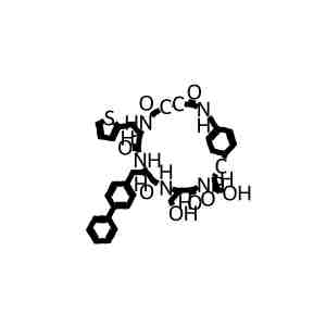 O=C1CCC(=O)N[C@H](Cc2cccs2)C(=O)N[C@@H](Cc2ccc(-c3ccccc3)cc2)C(=O)N[C@@H](CO)C(=O)N[C@H](C(=O)O)CC2C=CC(=CC2)N1